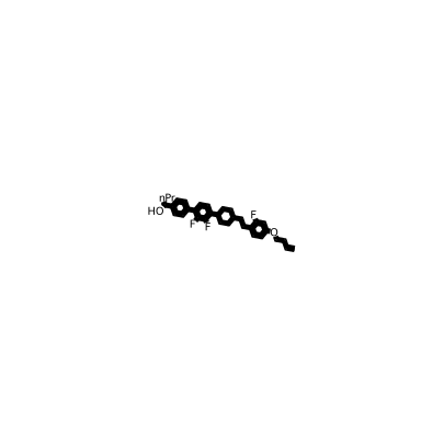 C=CCCOc1ccc(CCC2CCC(c3ccc(-c4ccc(C(O)CCC)cc4)c(F)c3F)CC2)c(F)c1